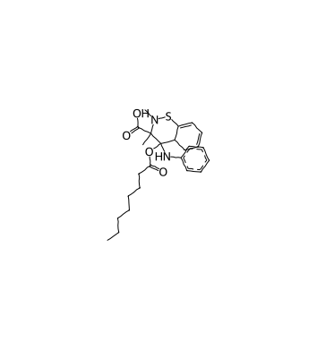 CCCCCCCC(=O)OC1(Nc2ccccc2)C2CC=CC=C2SN(C)C1(C)C(=O)O